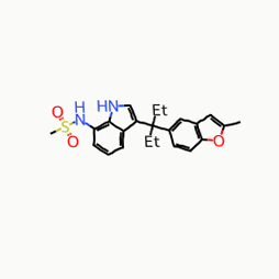 CCC(CC)(c1ccc2oc(C)cc2c1)c1c[nH]c2c(NS(C)(=O)=O)cccc12